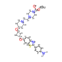 CN(C)c1ccc(-c2nc3ccc(O[C@H]4C[C@H](OC5CCN(CCN6CCN(C(=O)OC(C)(C)C)CC6)CC5)C4)cc3s2)cc1